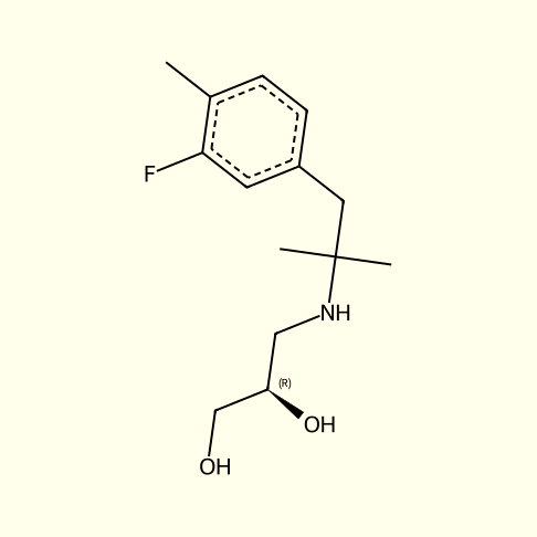 Cc1ccc(CC(C)(C)NC[C@@H](O)CO)cc1F